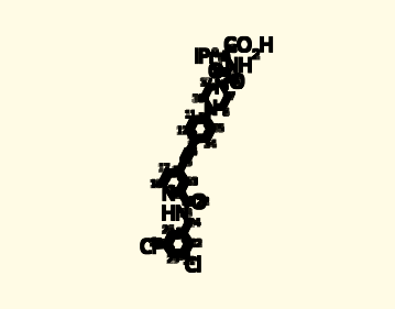 CC(C)[C@@H](NS(=O)(=O)N1CCN(c2ccc(C#Cc3ccnc(C(=O)NCc4cc(Cl)cc(Cl)c4)c3)cc2)CC1)C(=O)O